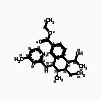 CCOC(=O)c1ccc2c(c1)[C@H](Nc1nccc(C)n1)[C@@H](C)[C@H](CC)N2C(C)O